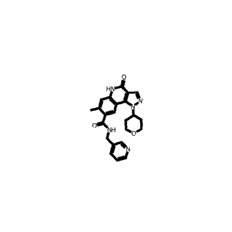 Cc1cc2[nH]c(=O)c3cnn(C4CCOCC4)c3c2cc1C(=O)NCc1cccnc1